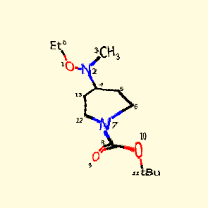 CCON(C)C1CCN(C(=O)OC(C)(C)C)CC1